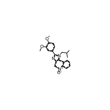 COc1ccc(-c2nc3c[n+]([O-])c4ccccc4c3n2CC(C)C)cc1OC